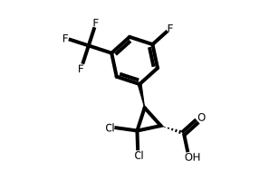 O=C(O)[C@H]1[C@H](c2cc(F)cc(C(F)(F)F)c2)C1(Cl)Cl